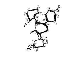 Cc1c(C2CNCCO2)cc(-c2ccc(F)cc2)n1-c1ccccc1F